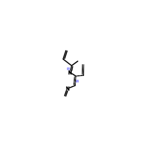 C=CC(=C/N=C)/N=C(\C)C=C